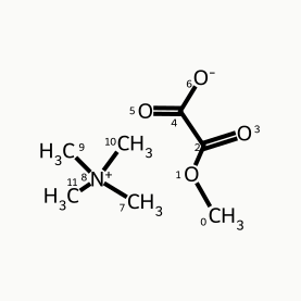 COC(=O)C(=O)[O-].C[N+](C)(C)C